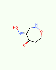 O=C1CCONCC1=NO